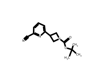 CC(C)(C)OC(=O)N1CC(c2cccc(C#N)n2)C1